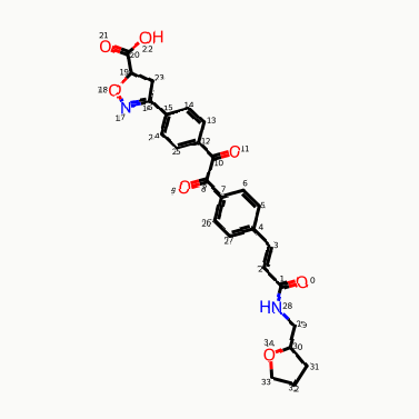 O=C(C=Cc1ccc(C(=O)C(=O)c2ccc(C3=NOC(C(=O)O)C3)cc2)cc1)NCC1CCCO1